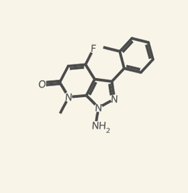 Cc1ccccc1-c1nn(N)c2c1c(F)cc(=O)n2C